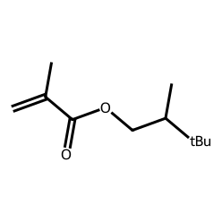 C=C(C)C(=O)OCC(C)C(C)(C)C